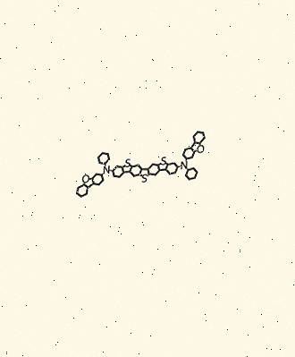 c1ccc(N(c2ccc3c(c2)oc2ccccc23)c2ccc3c(c2)sc2cc4c(cc23)sc2cc3c(cc24)sc2cc(N(c4ccccc4)c4ccc5c(c4)oc4ccccc45)ccc23)cc1